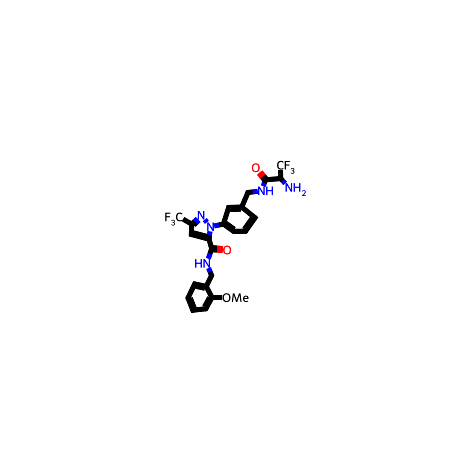 COc1ccccc1CNC(=O)c1cc(C(F)(F)F)nn1-c1cccc(CNC(=O)C(N)C(F)(F)F)c1